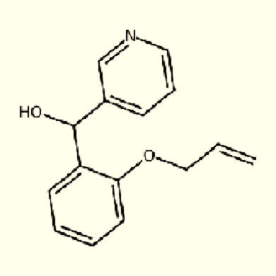 C=CCOc1ccccc1C(O)c1cccnc1